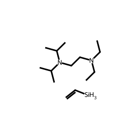 C=C[SiH3].CCN(CC)CCN(C(C)C)C(C)C